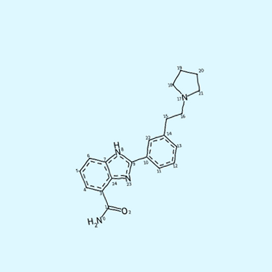 NC(=O)c1cccc2[nH]c(-c3cccc(CCN4CCCC4)c3)nc12